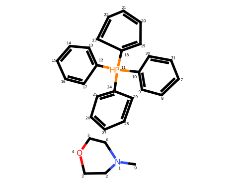 CN1CCOCC1.c1ccc([PH](c2ccccc2)(c2ccccc2)c2ccccc2)cc1